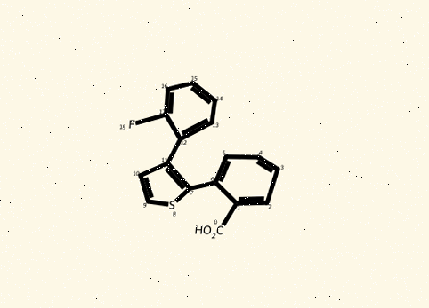 O=C(O)c1ccccc1-c1sccc1-c1ccccc1F